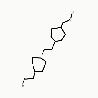 CCCOCC1CCC(CC[C@H]2CC[C@H](COCC)CC2)CC1